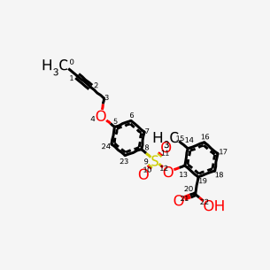 CC#CCOc1ccc(S(=O)(=O)Oc2c(C)cccc2C(=O)O)cc1